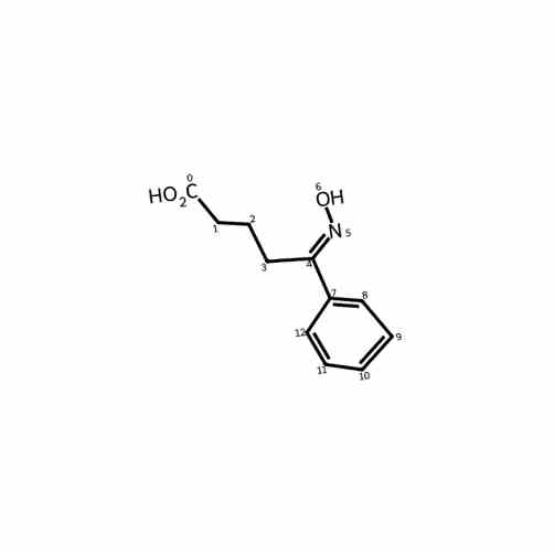 O=C(O)CCC/C(=N\O)c1ccccc1